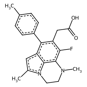 Cc1ccc(-c2c(CC(=O)O)c(F)c3c4c2cc(C)n4CCN3C)cc1